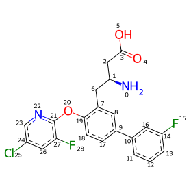 N[C@H](CC(=O)O)Cc1cc(-c2cccc(F)c2)ccc1Oc1ncc(Cl)cc1F